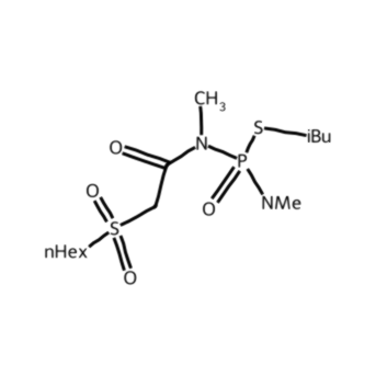 CCCCCCS(=O)(=O)CC(=O)N(C)P(=O)(NC)SC(C)CC